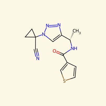 C[C@H](NC(=O)c1ccsc1)c1cn(C2(C#N)CC2)nn1